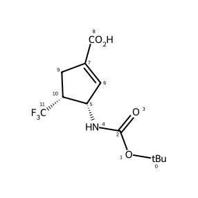 CC(C)(C)OC(=O)N[C@H]1C=C(C(=O)O)C[C@H]1C(F)(F)F